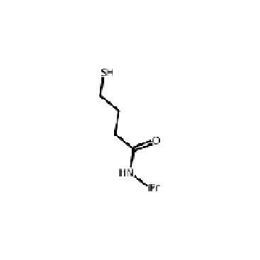 CC(C)NC(=O)CCCS